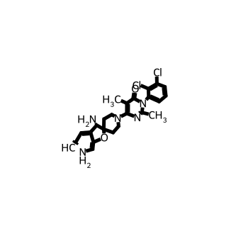 C#C/C=C1\C(=C/N)OC2(CCN(c3nc(C)n(-c4cccc(Cl)c4Cl)c(=O)c3C)CC2)[C@@H]1N